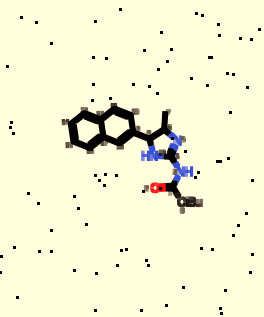 CC(C)COC(=O)NC1=NC(C)C(c2ccc3ccccc3c2)N1